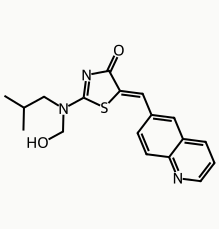 CC(C)CN(CO)C1=NC(=O)/C(=C/c2ccc3ncccc3c2)S1